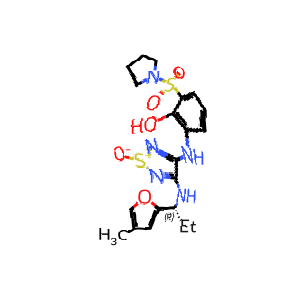 CC[C@@H](Nc1n[s+]([O-])nc1Nc1cccc(S(=O)(=O)N2CCCC2)c1O)c1cc(C)co1